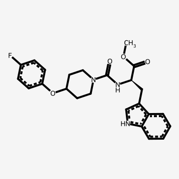 COC(=O)[C@@H](Cc1c[nH]c2ccccc12)NC(=O)N1CCC(Oc2ccc(F)cc2)CC1